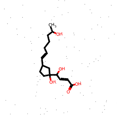 CC(O)CCCC=CC1CCC(O)(C(O)/C=C/C(=O)O)C1